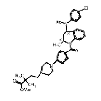 COC(=O)C(C)(C)CCN1CCN(c2ccc(C(=O)N3c4ccccc4[C@H](N(C(C)=O)c4ccc(Cl)cc4)C[C@@H]3C)cc2)CC1